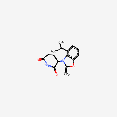 C=C1Oc2cccc(C(C)C)c2N1C1CCC(=O)NC1=O